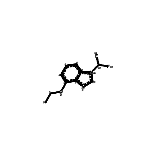 CCOc1cccc2c1ncn2C(F)F